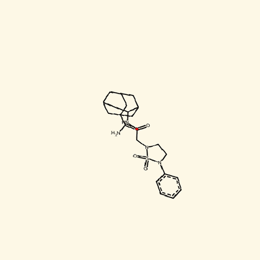 NC(=O)C12CC3CC(C1)C(NC(=O)CN1CCN(c4ccccc4)S1(=O)=O)C(C3)C2